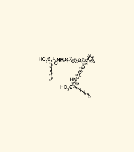 C#CC#CC#CC#CC(CC(=O)NCCCOCCOCCOCCN(CCOCCOCCCNC(=O)CC(C#CC#CC#CC#C)C(=O)O)c1cccc(C)c1)C(=O)O